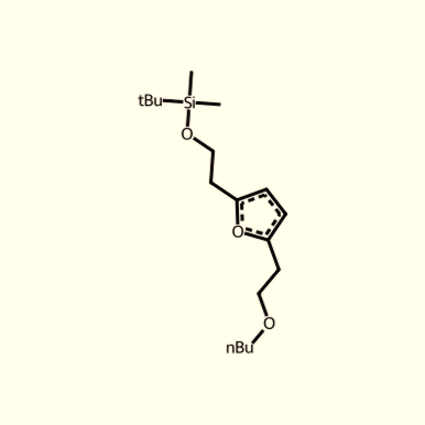 CCCCOCCc1ccc(CCO[Si](C)(C)C(C)(C)C)o1